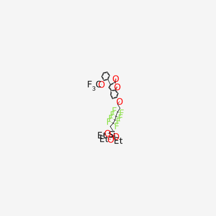 CCO[Si](CCC(F)(F)C(F)(F)C(F)(F)C(F)(F)CCOc1ccc2cc(-c3ccccc3OC(F)(F)F)c(=O)oc2c1)(OCC)OCC